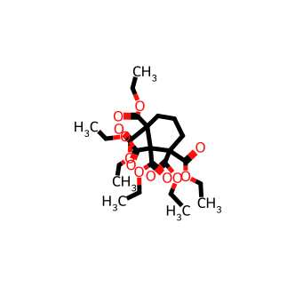 CCOC(=O)C1(C(=O)OCC)CCCC(C(=O)OCC)(C(=O)OCC)C1(C(=O)OCC)C(=O)OCC